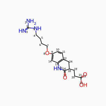 N=C(N)NCCCCOc1ccc2c(c1)NC(=O)C(CCC(=O)O)C2